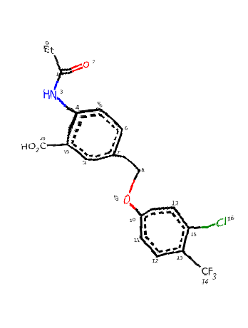 CCC(=O)Nc1ccc(COc2ccc(C(F)(F)F)c(Cl)c2)cc1C(=O)O